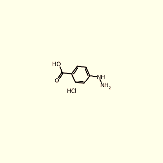 Cl.NNc1ccc(C(=O)O)cc1